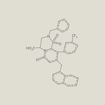 O=C(O)C1CN(Cc2ccccc2)S(=O)(=O)c2c(-c3cccc(C(F)(F)F)c3)c(Cc3cccc4ccccc34)cc(=O)n21